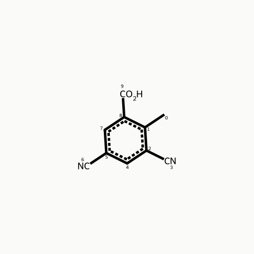 Cc1c(C#N)cc(C#N)cc1C(=O)O